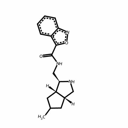 CC1C[C@H]2CN[C@H](CNC(=O)c3onc4ccccc34)[C@H]2C1